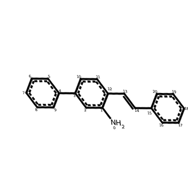 Nc1cc(-c2ccccc2)ccc1C=Cc1ccccc1